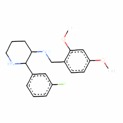 COc1ccc(CNC2CCCNC2c2cccc(F)c2)c(OC)c1